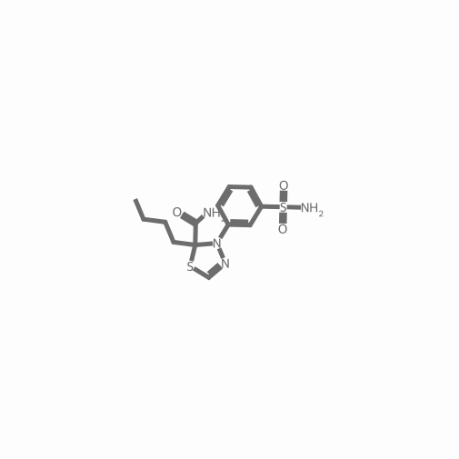 CCCCC1(C(N)=O)SC=NN1c1cccc(S(N)(=O)=O)c1